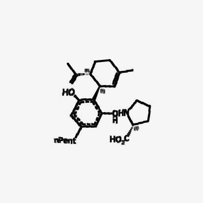 C=C(C)[C@@H]1CCC(C)=C[C@H]1c1c(O)cc(CCCCC)cc1O.O=C(O)[C@H]1CCCN1